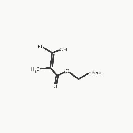 CCCCCCOC(=O)C(C)=C(O)CC